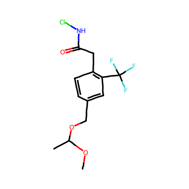 COC(C)OCc1ccc(CC(=O)NCl)c(C(F)(F)F)c1